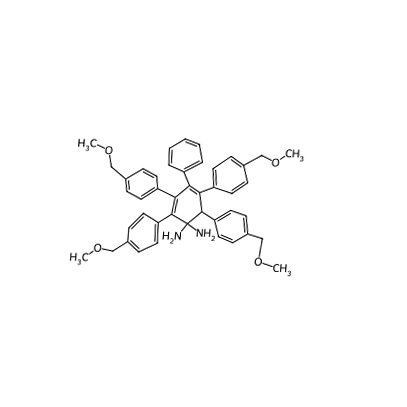 COCc1ccc(C2=C(c3ccc(COC)cc3)C(N)(N)C(c3ccc(COC)cc3)C(c3ccc(COC)cc3)=C2c2ccccc2)cc1